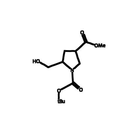 COC(=O)C1CC(CO)N(C(=O)OC(C)(C)C)C1